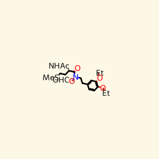 CCOc1ccc(CCN(OC=O)C(=O)[C@H](CCSC)NC(C)=O)cc1OCC